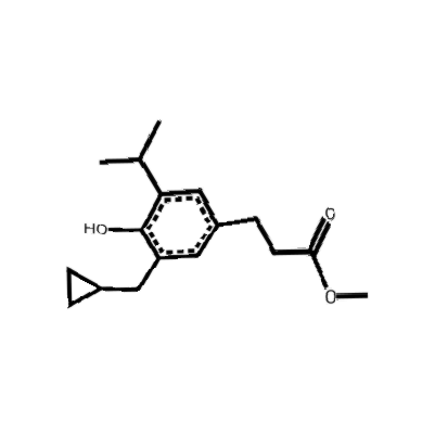 COC(=O)CCc1cc(CC2CC2)c(O)c(C(C)C)c1